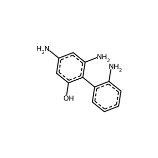 Nc1cc(N)c(-c2ccccc2N)c(O)c1